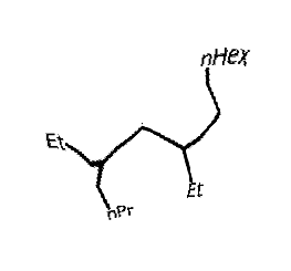 CCCCCCCC([CH]C(CC)CCC)CC